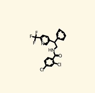 O=C(NCC(c1ccccc1)c1ccc(C(F)(F)F)nc1)c1ccc(Cl)cc1Cl